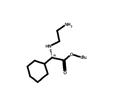 CC(C)(C)OC(=O)[C@@H](NCCN)C1CCCCC1